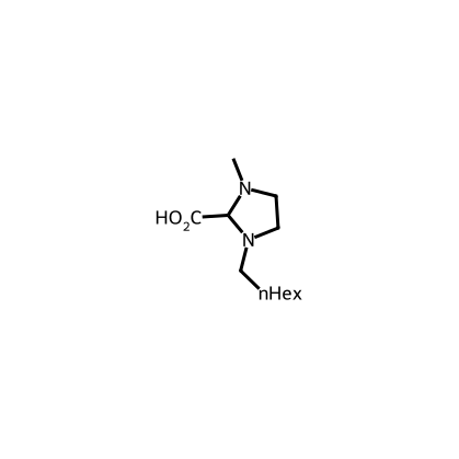 CCCCCCCN1CCN(C)C1C(=O)O